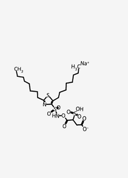 CCCCCCCCc1nc(S(=O)(=O)NOC(=O)C(CC(=O)[O-])S(=O)(=O)O)c(CCCCCCCC)s1.[Na+]